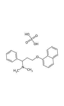 CN(C)C(CCOc1cccc2ccccc12)c1ccccc1.O=S(=O)(O)O